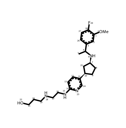 COc1cc(C(C)N[C@H]2CC[C@@H](c3ccc(NCCNCCCO)nc3)C2)ccc1F